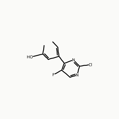 C/C=C(\C=C(/C)O)c1nc(Cl)ncc1F